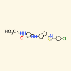 O=C(O)CCNC(=O)c1ccc(CNc2ccc3c(c2)CCC3c2nc(-c3ccc(Cl)cc3)cs2)cc1